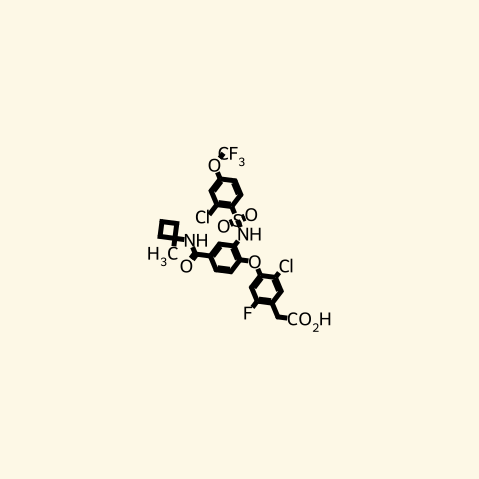 CC1(NC(=O)c2ccc(Oc3cc(F)c(CC(=O)O)cc3Cl)c(NS(=O)(=O)c3ccc(OC(F)(F)F)cc3Cl)c2)CCC1